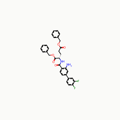 Nc1cc(-c2ccc(F)c(F)c2)ccc1C(=O)N[C@@H](CCC(=O)OCc1ccccc1)C(=O)OCc1ccccc1